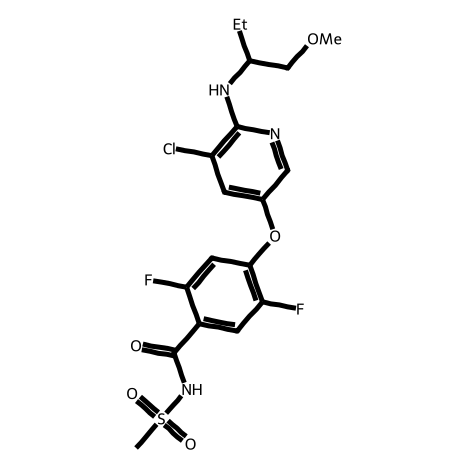 CCC(COC)Nc1ncc(Oc2cc(F)c(C(=O)NS(C)(=O)=O)cc2F)cc1Cl